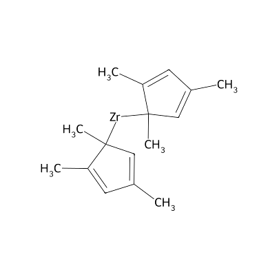 CC1=C[C](C)([Zr][C]2(C)C=C(C)C=C2C)C(C)=C1